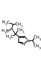 BN(C(C)C)C(C)(C)c1cnn(C(C)C)c1